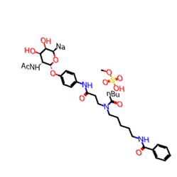 CCCCC(=O)N(CCCCCNC(=O)c1ccccc1)CCC(=O)Nc1ccc(O[C@H]2O[C@H]([Na])[C@H](O)[C@H](O)[C@H]2NC(C)=O)cc1.COS(=O)(=O)O